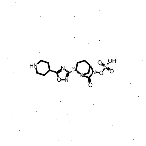 O=C1N(OS(=O)(=O)O)C2CC[C@@H](c3noc(C4CCNCC4)n3)N1C2